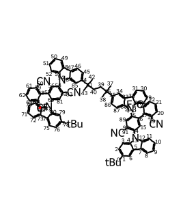 CC(C)(C)c1ccc2c(c1)c1ccccc1n2-c1cc(-c2c(C#N)cccc2C(F)(F)F)c(-n2c3ccccc3c3cc(C(C)(C)CCC(C)(C)c4ccc5c6ccccc6n(-c6cc(-c7c(C#N)cccc7C(F)(F)F)c(-n7c8ccccc8c8ccc(C(C)(C)C)cc87)cc6C#N)c5c4)ccc32)cc1C#N